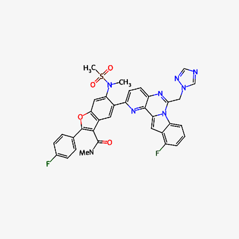 CNC(=O)c1c(-c2ccc(F)cc2)oc2cc(N(C)S(C)(=O)=O)c(-c3ccc4nc(Cn5cncn5)n5c6cccc(F)c6cc5c4n3)cc12